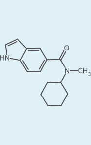 CN(C(=O)c1ccc2[nH]ccc2c1)C1CCCCC1